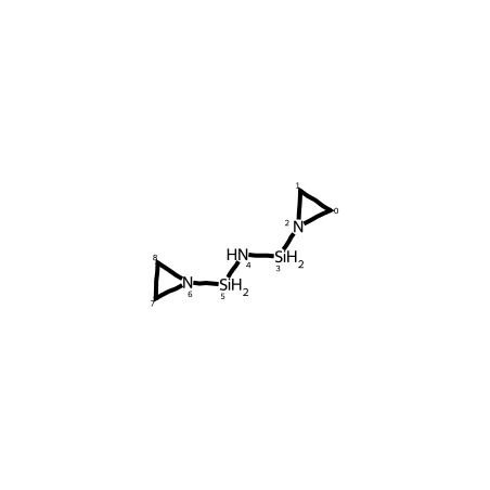 C1CN1[SiH2]N[SiH2]N1CC1